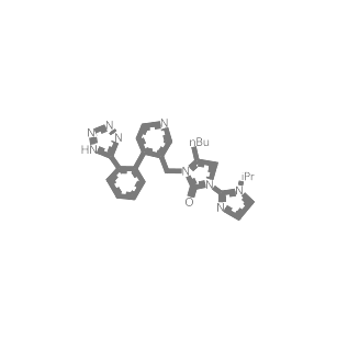 CCCCc1cn(-c2nccn2C(C)C)c(=O)n1Cc1cnccc1-c1ccccc1-c1nnn[nH]1